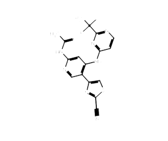 CC(=O)Nc1cc(Nc2ccnc(C(C)(F)F)n2)c(-c2csc(C#N)n2)cn1